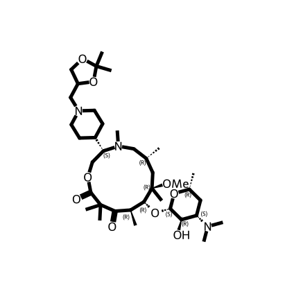 CO[C@]1(C)C[C@@H](C)CN(C)[C@@H](C2CCN(CC3COC(C)(C)O3)CC2)COC(=O)C(C)(C)C(=O)[C@H](C)[C@H]1O[C@@H]1O[C@H](C)C[C@H](N(C)C)[C@H]1O